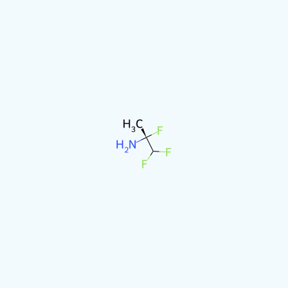 C[C@@](N)(F)C(F)F